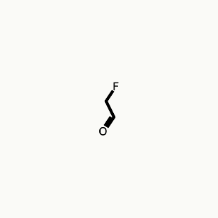 O=CCF